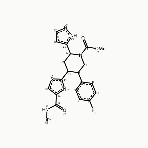 COC(=O)N1CC(c2ccc(F)cc2)C(c2nc(C(=O)NC(C)C)cs2)CC1c1ccn[nH]1